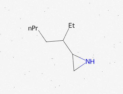 CCCCC(CC)C1CN1